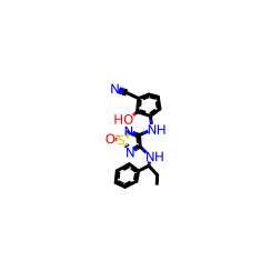 CCC(Nc1n[s+]([O-])nc1Nc1cccc(C#N)c1O)c1ccccc1